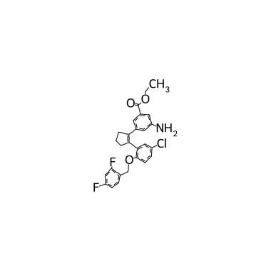 CCOC(=O)c1cc(N)cc(C2=C(c3cc(Cl)ccc3OCc3ccc(F)cc3F)CCC2)c1